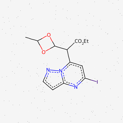 CCOC(=O)C(c1cc(I)nc2ccnn12)C1OC(C)O1